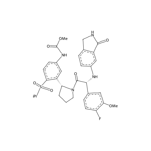 COC(=O)Nc1ccc(S(=O)(=O)C(C)C)c([C@H]2CCCN2C(=O)[C@H](Nc2ccc3c(c2)C(=O)NC3)c2ccc(F)c(OC)c2)c1